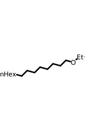 C[CH]OCCCCCCCCCCCCCC